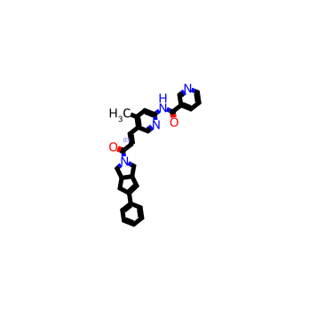 Cc1cc(NC(=O)c2cccnc2)ncc1/C=C/C(=O)N1CC2C=C(c3ccccc3)CC2C1